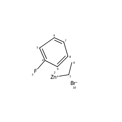 C[CH2][Zn+].Fc1ccccc1.[Br-]